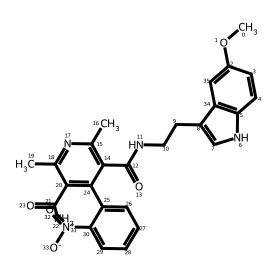 COc1ccc2[nH]cc(CCNC(=O)c3c(C)nc(C)c(C(N)=O)c3-c3ccccc3[N+](=O)[O-])c2c1